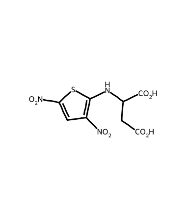 O=C(O)CC(Nc1sc([N+](=O)[O-])cc1[N+](=O)[O-])C(=O)O